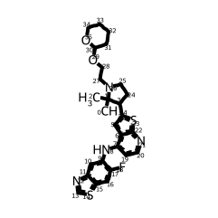 CC1(C)C(c2cc3c(Nc4cc5ncsc5cc4F)ccnc3s2)CCN1CCOC1CCCCO1